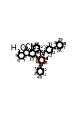 CC1(C)c2ccccc2-c2cc(-c3ccccc3)c3c(N(c4ccc(-c5ccccc5)cc4)c4ccc(-c5ccccc5)cc4)cccc3c21